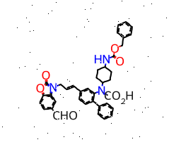 O=Cc1ccc2oc(=O)n(C/C=C/c3ccc(-c4ccccc4)c(N(C(=O)O)C4CCC(NC(=O)OCc5ccccc5)CC4)c3)c2c1